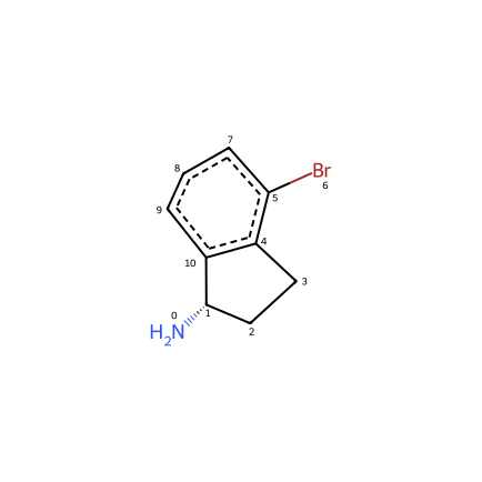 N[C@H]1CCc2c(Br)cccc21